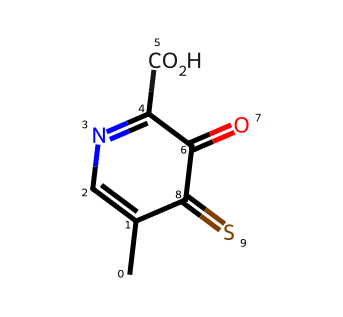 CC1=CN=C(C(=O)O)C(=O)C1=S